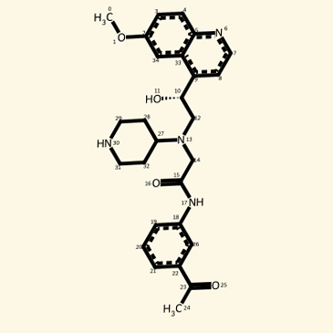 COc1ccc2nccc([C@@H](O)CN(CC(=O)Nc3cccc(C(C)=O)c3)C3CCNCC3)c2c1